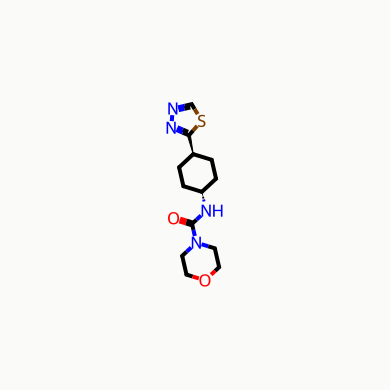 O=C(N[C@H]1CC[C@H](c2nncs2)CC1)N1CCOCC1